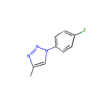 Cc1cn(-c2ccc(F)cc2)nn1